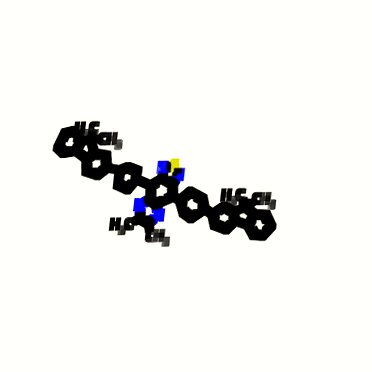 Cc1nc2c(-c3ccc(-c4ccc5c(c4)C(C)(C)c4ccccc4-5)cc3)c3nsnc3c(-c3ccc(-c4ccc5c(c4)C(C)(C)c4ccccc4-5)cc3)c2nc1C